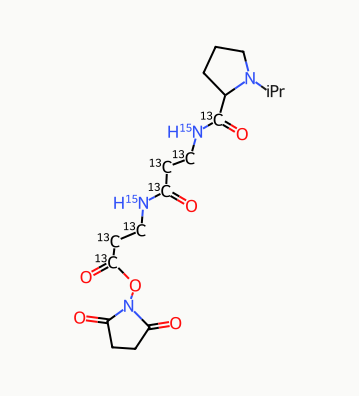 CC(C)N1CCCC1[13C](=O)[15NH][13CH2][13CH2][13C](=O)[15NH][13CH2][13CH2][13C](=O)ON1C(=O)CCC1=O